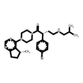 CC(C)CNCC[C@@H](C(=O)N1CCN(c2ncnc3c2[C@H](C)CC3)CC1)c1ccc(Br)cc1